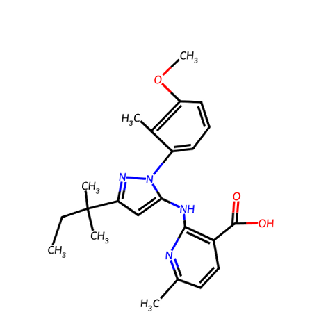 CCC(C)(C)c1cc(Nc2nc(C)ccc2C(=O)O)n(-c2cccc(OC)c2C)n1